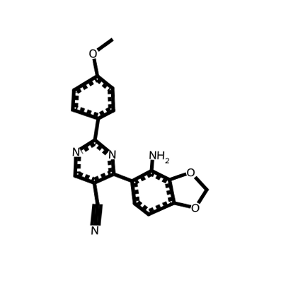 COc1ccc(-c2ncc(C#N)c(-c3ccc4c(c3N)OCO4)n2)cc1